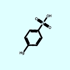 O=S(=O)(O)c1cc[c]([Hg])cc1